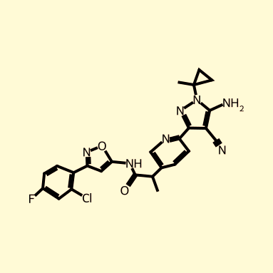 CC(C(=O)Nc1cc(-c2ccc(F)cc2Cl)no1)c1ccc(-c2nn(C3(C)CC3)c(N)c2C#N)nc1